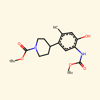 CC(C)(C)OC(=O)Nc1cc(C2CCN(C(=O)OC(C)(C)C)CC2)c(C#N)cc1O